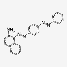 Nc1ccc2ccccc2c1N=Nc1ccc(N=Nc2ccccc2)cc1